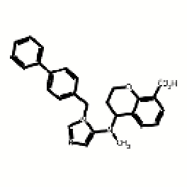 CN(c1cncn1Cc1ccc(-c2ccccc2)cc1)C1CCOc2c(C(=O)O)cccc21